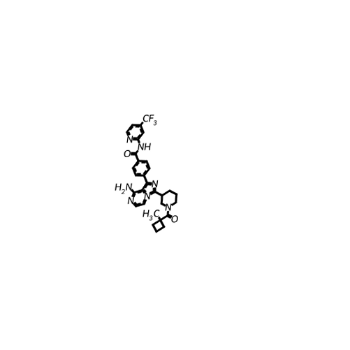 CC1(C(=O)N2CCCC(c3nc(-c4ccc(C(=O)Nc5cc(C(F)(F)F)ccn5)cc4)c4c(N)nccn34)C2)CCC1